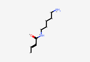 C/C=C/C(=O)NCCCCCN